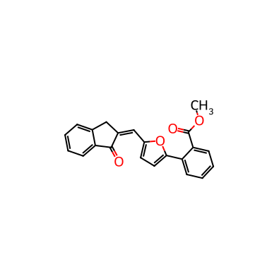 COC(=O)c1ccccc1-c1ccc(C=C2Cc3ccccc3C2=O)o1